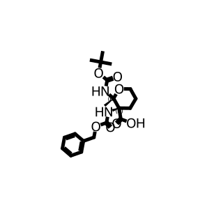 CC(C)(C)OC(=O)N[C@]1(C)OCCC[C@]1(NC(=O)OCc1ccccc1)C(=O)O